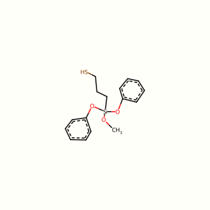 CO[Si](CCCS)(Oc1ccccc1)Oc1ccccc1